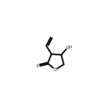 C=CC1C(=O)OCC1O